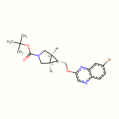 CC(C)(C)OC(=O)N1C[C@@H]2[C@@H](COc3cnc4ccc(Br)cc4n3)[C@@H]2C1